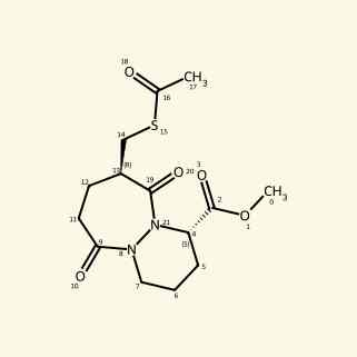 COC(=O)[C@@H]1CCCN2C(=O)CC[C@@H](CSC(C)=O)C(=O)N12